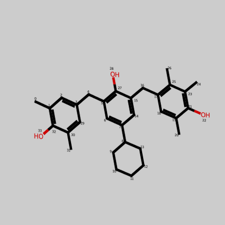 Cc1cc(Cc2cc(C3CCCCC3)cc(Cc3cc(C)c(O)c(C)c3C)c2O)cc(C)c1O